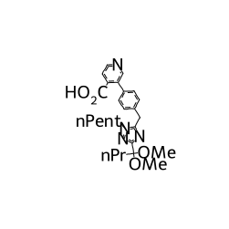 CCCCCn1nc(C(CCC)(OC)OC)nc1Cc1ccc(-c2cnccc2C(=O)O)cc1